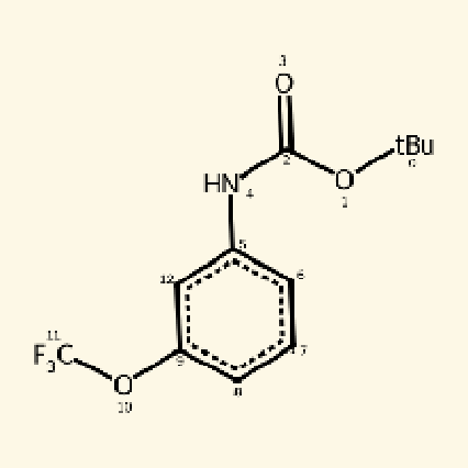 CC(C)(C)OC(=O)Nc1c[c]cc(OC(F)(F)F)c1